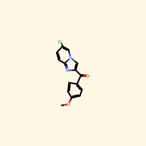 COc1ccc(C(=O)c2cn3cc(Cl)ccc3n2)cc1